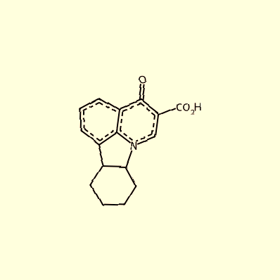 O=C(O)c1cn2c3c(cccc3c1=O)C1CCCCC12